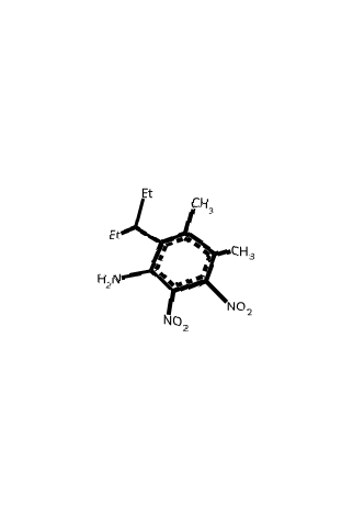 CCC(CC)c1c(C)c(C)c([N+](=O)[O-])c([N+](=O)[O-])c1N